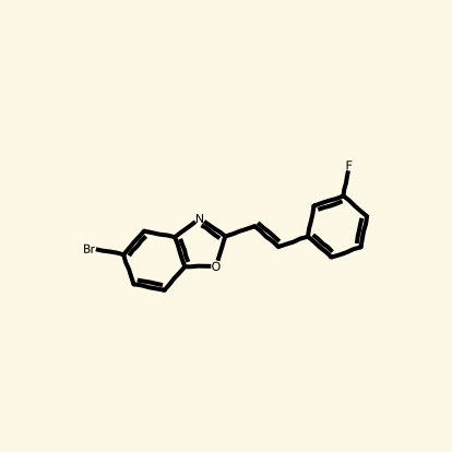 Fc1cccc(/C=C/c2nc3cc(Br)ccc3o2)c1